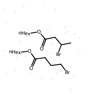 CCCCCCOC(=O)CC(C)Br.CCCCCCOC(=O)CCCBr